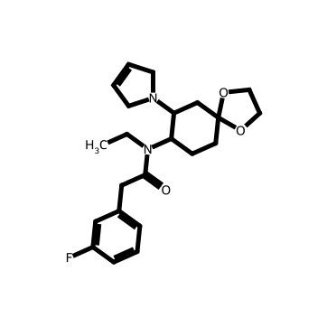 CCN(C(=O)Cc1cccc(F)c1)C1CCC2(CC1N1CC=CC1)OCCO2